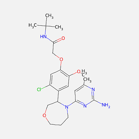 COc1cc(C2COCCCN2c2cc(C)nc(N)n2)c(Cl)cc1OCC(=O)NC(C)(C)C